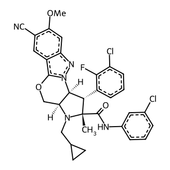 COc1cc2nn3c(c2cc1C#N)OC[C@H]1[C@@H]3[C@H](c2cccc(Cl)c2F)[C@](C)(C(=O)Nc2cccc(Cl)c2)N1CC1CC1